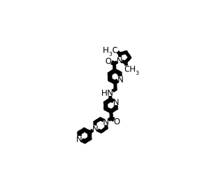 CC1CCC(C)N1C(=O)c1ccc(CNc2ccc(C(=O)N3CCN(c4ccncc4)CC3)cn2)nc1